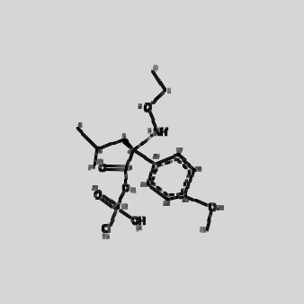 CCON[C@@](CC(C)C)(C(=O)OP(=O)(O)Cl)c1ccc(OC)cc1